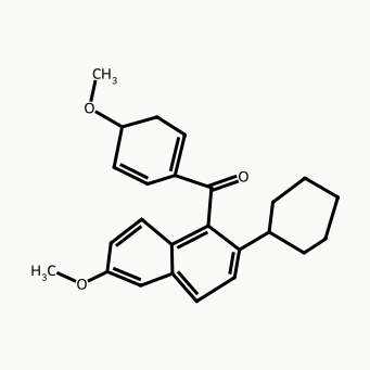 COc1ccc2c(C(=O)C3=CCC(OC)C=C3)c(C3CCCCC3)ccc2c1